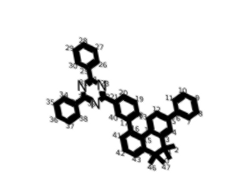 CC1(C)c2cc(-c3ccccc3)ccc2-c2c(-c3cccc(-c4nc(-c5ccccc5)nc(-c5ccccc5)n4)c3)cccc2C1(C)C